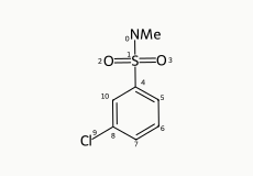 CNS(=O)(=O)c1cccc(Cl)c1